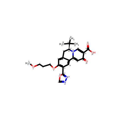 COCCCOc1cc2c(cc1-c1nnco1)-c1cc(=O)c(C(=O)O)cn1[C@H](C(C)(C)C)C2